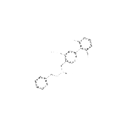 CCCCCN(CCc1ccccc1)Cc1cnc(-c2c(CC)cccc2CC)cc1OC